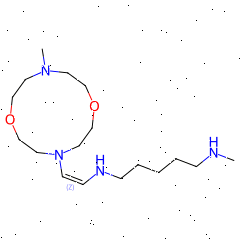 CNCCCCCN/C=C\N1CCOCCN(C)CCOCC1